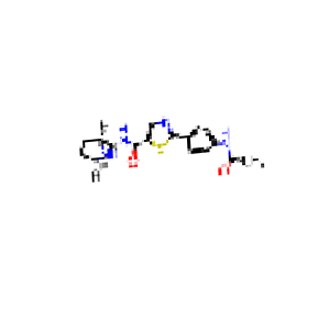 O=C(N[C@@H]1C[C@H]2CC[C@@H]1N2)c1cnc(-c2ccc(NC(=O)C(F)(F)F)cc2)s1